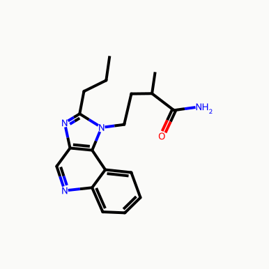 CCCc1nc2cnc3ccccc3c2n1CCC(C)C(N)=O